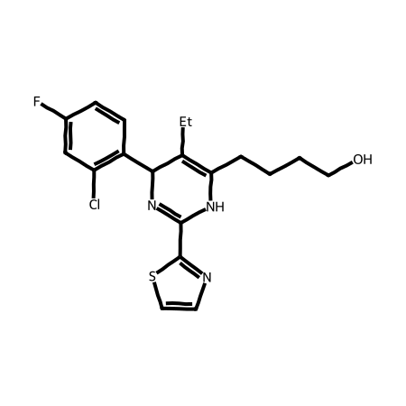 CCC1=C(CCCCO)NC(c2nccs2)=NC1c1ccc(F)cc1Cl